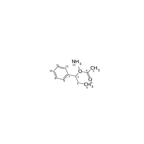 CCC(OC(C)=O)c1ccccc1.N